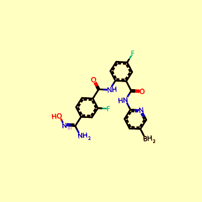 Bc1ccc(NC(=O)c2cc(F)ccc2NC(=O)c2ccc(/C(N)=N\O)cc2F)nc1